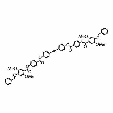 COc1cc(C(=O)Oc2ccc(C(=O)Oc3ccc(C#Cc4ccc(OC(=O)c5ccc(OC(=O)c6cc(OC)c(OCc7ccccc7)cc6OC)cc5)cc4)cc3)cc2)c(OC)cc1OCc1ccccc1